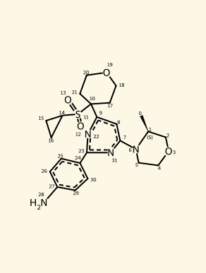 C[C@H]1COCCN1c1cc(C2(S(=O)(=O)C3CC3)CCOCC2)nc(-c2ccc(N)cc2)n1